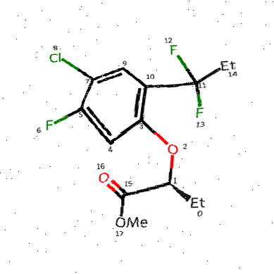 CC[C@H](Oc1cc(F)c(Cl)cc1C(F)(F)CC)C(=O)OC